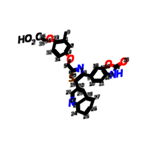 Cc1cc(OCc2nc(-c3ccc4[nH]c(=O)oc4c3)c(-c3cnc4ccccc4c3)s2)ccc1OCC(=O)O